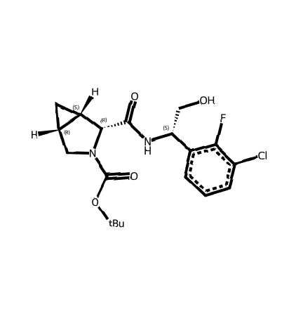 CC(C)(C)OC(=O)N1C[C@@H]2C[C@@H]2[C@@H]1C(=O)N[C@H](CO)c1cccc(Cl)c1F